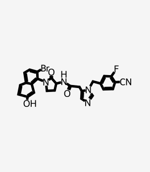 N#Cc1ccc(Cn2cncc2CC(=O)NC2CCN(c3c(Br)ccc4ccc(O)cc34)C2=O)cc1F